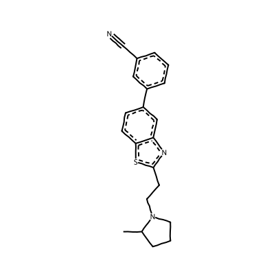 CC1CCCN1CCc1nc2cc(-c3cccc(C#N)c3)ccc2s1